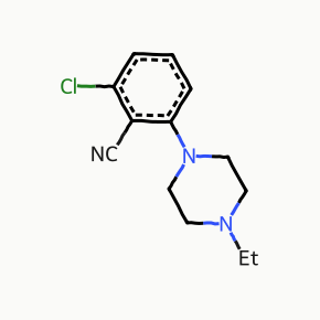 CCN1CCN(c2cccc(Cl)c2C#N)CC1